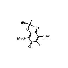 CCCCCCCCCCC1=C(C)C(=O)C(OC)=C(OC(C)(C)C(C)(C)C)C1=O